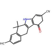 CC1(C)c2cc(C=O)ccc2Cc2c1[nH]c1c2C(=O)CC(C#N)=C1